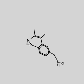 CC(C)=C(C)c1cc(CNCl)ccc1C1CC1